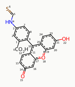 O=C(O)c1cc(NC=S)ccc1-c1c2ccc(=O)cc-2oc2cc(O)ccc12